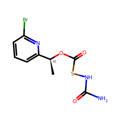 C[C@H](OC(=O)SNC(N)=O)c1cccc(Br)n1